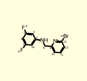 Fc1cc(F)cc(NCc2cccc(Br)n2)c1